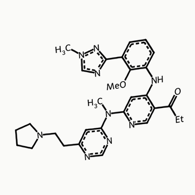 CCC(=O)c1cnc(N(C)c2cc(CCN3CCCC3)ncn2)cc1Nc1cccc(-c2ncn(C)n2)c1OC